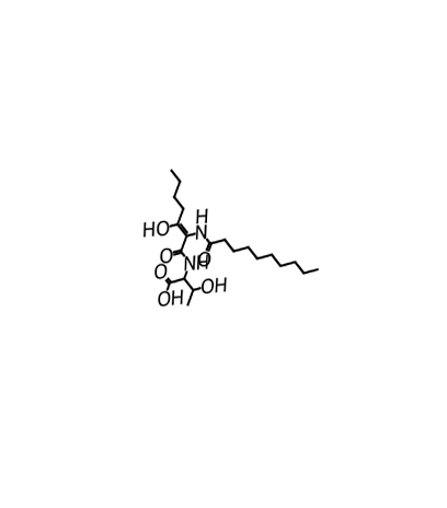 CCCCCCCCCC(=O)N/C(C(=O)NC(C(=O)O)C(C)O)=C(/O)CCCC